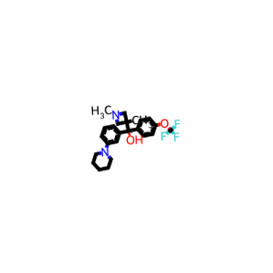 CN1CC(C)([C@](O)(c2ccc(OC(F)(F)F)cc2)c2cccc(N3CCCCC3)c2)C1